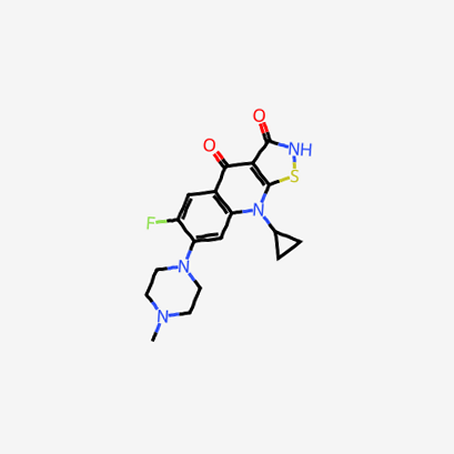 CN1CCN(c2cc3c(cc2F)c(=O)c2c(=O)[nH]sc2n3C2CC2)CC1